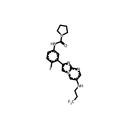 O=C(Nc1ccc(F)c(-c2cn3cc(NCCC(F)(F)F)cnc3n2)c1)N1CCCC1